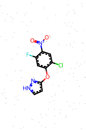 O=[N+]([O-])c1cc(Cl)c(Oc2cc[nH]n2)cc1F